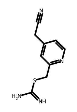 N#CCc1ccnc(CSC(=N)N)c1